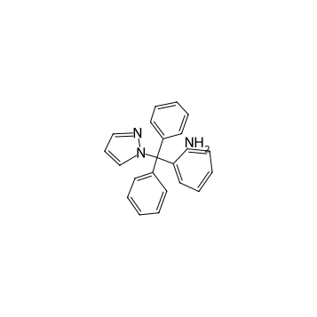 Nc1ccccc1C(c1ccccc1)(c1ccccc1)n1cccn1